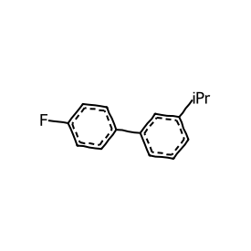 CC(C)c1cccc(-c2ccc(F)cc2)c1